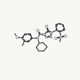 COc1ccc(N(C(=O)n2nnn(-c3ccccc3S(C)(=O)=O)c2=O)C2CCCCC2)cc1C